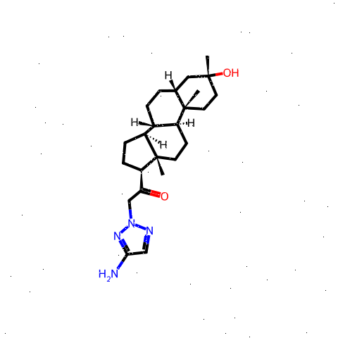 C[C@@]1(O)CC[C@@]2(C)[C@H](CC[C@@H]3[C@@H]2CC[C@]2(C)[C@@H](C(=O)Cn4ncc(N)n4)CC[C@@H]32)C1